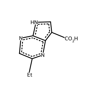 CCc1cnc2[nH]cc(C(=O)O)c2n1